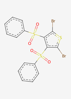 O=S(=O)(c1ccccc1)c1c(Br)sc(Br)c1S(=O)(=O)c1ccccc1